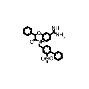 CS(=O)(=O)c1cc(CNC(=O)C(Oc2cccc(C(=N)N)c2)c2ccccc2)ccc1-c1ccccc1